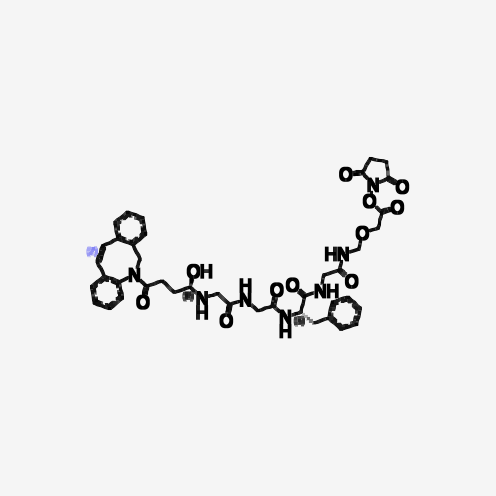 O=C(CNC(=O)[C@H](Cc1ccccc1)NC(=O)CNC(=O)CN[C@H](O)CCC(=O)N1Cc2ccccc2/C=C\c2ccccc21)NCOCC(=O)ON1C(=O)CCC1=O